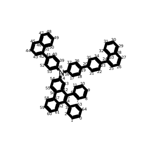 c1ccc(-c2c(-c3ccccc3)c3cc(N(c4ccc(-c5ccc(-c6cccc7ccccc67)cc5)cc4)c4ccc(-c5cccc6ccccc56)cc4)ccc3c3ccccc23)cc1